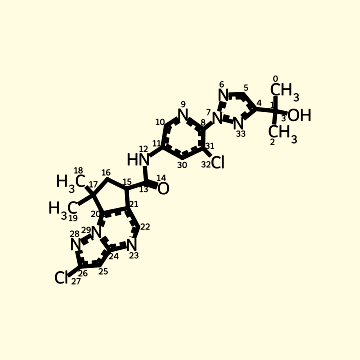 CC(C)(O)c1cnn(-c2ncc(NC(=O)C3CC(C)(C)c4c3cnc3cc(Cl)nn43)cc2Cl)n1